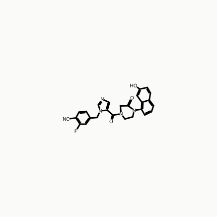 N#Cc1ccc(Cn2cncc2C(=O)N2CCN(c3cccc4ccc(O)cc34)C(=O)C2)cc1F